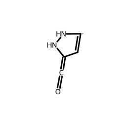 O=C=C1C=[C]NN1